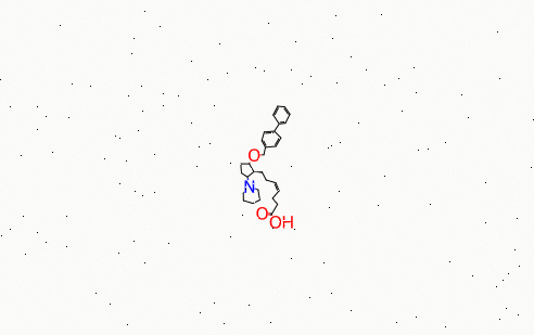 O=C(O)CC/C=C\CC[C@@H]1[C@@H](OCc2ccc(-c3ccccc3)cc2)CC[C@@H]1N1CCCCC1